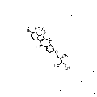 CC1(C)C2=C(C(=O)c3ccc(OC[C@@H](O)[C@H](O)CO)cc31)C1C=CC(Br)=CC1N2CC(=O)O